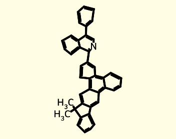 CC1(C)c2ccccc2-c2cc3c4ccccc4c4cc(-c5ncc(-c6ccccc6)c6ccccc56)ccc4c3cc21